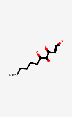 CCCCCCCCCCCC(=O)C(=O)C(=O)C=C=O